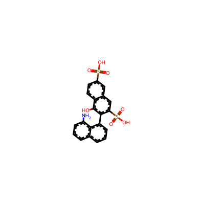 Nc1cccc2cccc(-c3c(S(=O)(=O)O)cc4cc(S(=O)(=O)O)ccc4c3O)c12